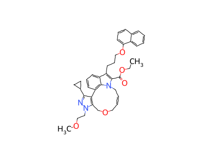 CCOC(=O)c1c(CCCOc2cccc3ccccc23)c2cccc3c2n1C/C=C\COCc1c-3c(C2CC2)nn1CCOC